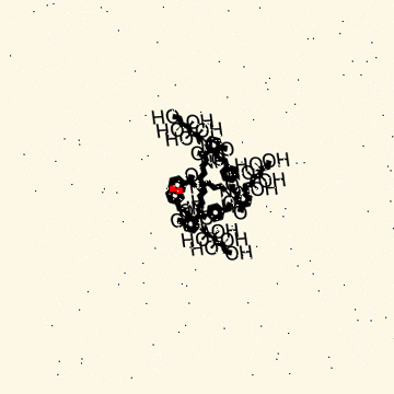 O=C(NC(CCCNC(=O)c1c(OCc2ccccc2)c(=O)ccn1C[C@H](O)[C@@H](O)[C@H](O)[C@H](O)CO)(CCCNC(=O)c1c(OCc2ccccc2)c(=O)ccn1C[C@H](O)[C@@H](O)[C@H](O)[C@H](O)CO)CCCNC(=O)c1c(OCc2ccccc2)c(=O)ccn1C[C@H](O)[C@@H](O)[C@H](O)[C@H](O)CO)c1ccccc1